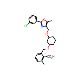 Cc1cccc(COC2CCCC(OCc3nc(-c4cccc(Cl)c4)oc3C)C2)c1C(=O)O